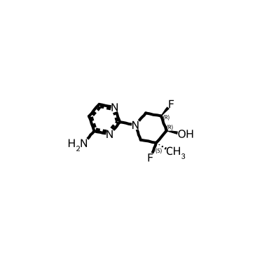 C[C@]1(F)CN(c2nccc(N)n2)C[C@@H](F)[C@H]1O